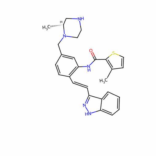 Cc1ccsc1C(=O)Nc1cc(CN2CCNC[C@H]2C)ccc1C=Cc1n[nH]c2ccccc12